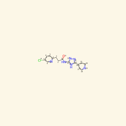 O=C(CCc1ccc(Cl)cn1)Nc1nnc(-c2ccncc2)[nH]1